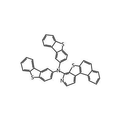 c1ccc2c(c1)ccc1sc3c(N(c4ccc5sc6ccccc6c5c4)c4ccc5sc6ccccc6c5c4)nccc3c12